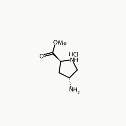 COC(=O)[C@@H]1C[C@@H](N)CN1.Cl